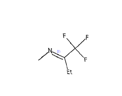 CC/C(=N\C)C(F)(F)F